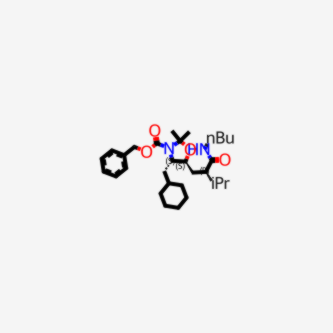 CCCCNC(=O)[C@H](C[C@@H]1OC(C)(C)N(C(=O)OCc2ccccc2)[C@H]1CC1CCCCC1)C(C)C